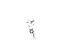 CCOCCc1ccc(OCCN(C(=O)Cl)c2ncnc(C)c2Cl)c(C)c1